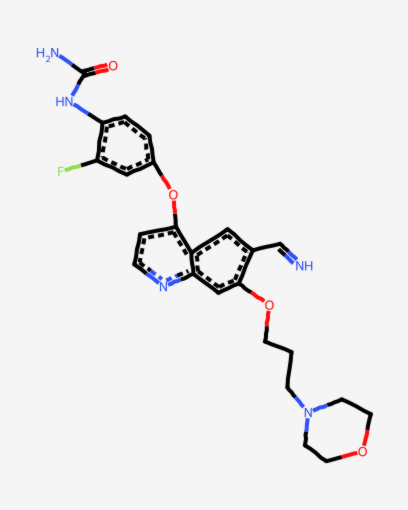 N=Cc1cc2c(Oc3ccc(NC(N)=O)c(F)c3)ccnc2cc1OCCCN1CCOCC1